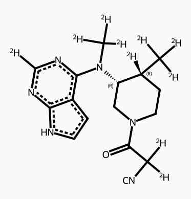 [2H]c1nc(N([C@H]2CN(C(=O)C([2H])([2H])[N+]#[C-])CC[C@@]2([2H])C([2H])([2H])[2H])C([2H])([2H])[2H])c2cc[nH]c2n1